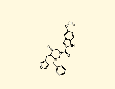 COc1ccc2[nH]c(C(=O)N3CC(=O)N(Cc4ccoc4)[C@@H](Cc4ccccc4)C3)cc2c1